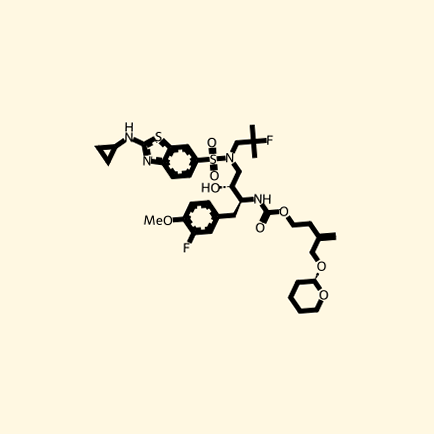 C=C(CCOC(=O)N[C@@H](Cc1ccc(OC)c(F)c1)[C@H](O)CN(CC(C)(C)F)S(=O)(=O)c1ccc2nc(NC3CC3)sc2c1)CO[C@H]1CCCCO1